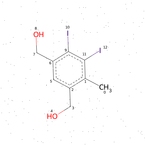 Cc1c(CO)cc(CO)c(I)c1I